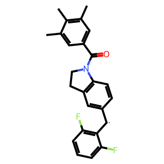 Cc1cc(C(=O)N2CCc3cc([CH]c4c(F)cccc4F)ccc32)cc(C)c1C